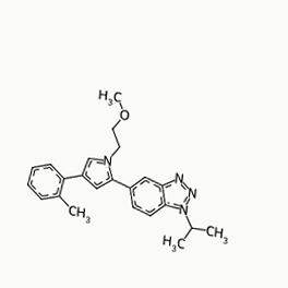 COCCn1cc(-c2ccccc2C)cc1-c1ccc2c(c1)nnn2C(C)C